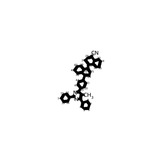 Cc1c(-c2ccccc2)nc(-c2ccccc2)nc1-c1ccc(-c2ccc(-c3ccc(C#N)c4ccccc34)c3ccccc23)cc1